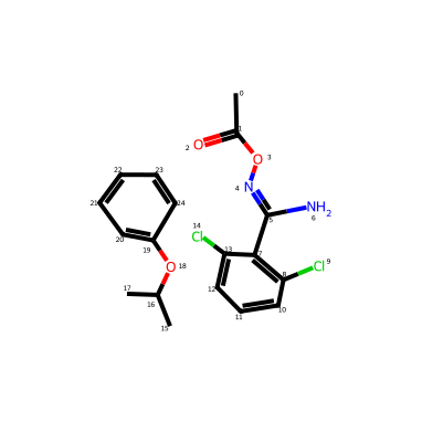 CC(=O)ON=C(N)c1c(Cl)cccc1Cl.CC(C)Oc1ccccc1